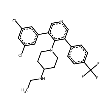 CCNC1CCN(c2c(-c3ccc(C(F)(F)F)cc3)cncc2-c2cc(Cl)cc(Cl)c2)CC1